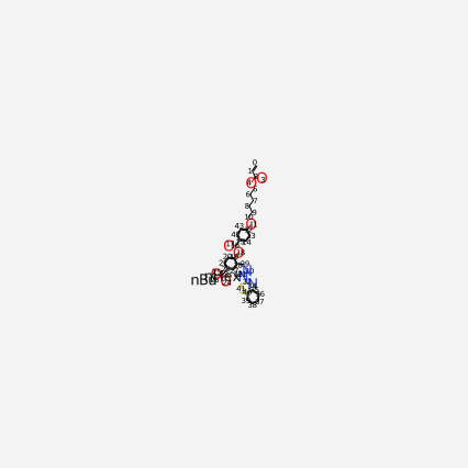 C=CC(=O)OCCCCCCOc1ccc(C(=O)Oc2ccc(C(=O)OCCCC)cc2/C=N\N(CCCCCC)c2nc3ccccc3s2)cc1